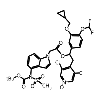 CC(C)(C)OC(=O)N(c1cccc2c1ccn2CC(=O)OC(Cc1c(Cl)c[n+]([O-])cc1Cl)c1ccc(OC(F)F)c(OCC2CC2)c1)S(C)(=O)=O